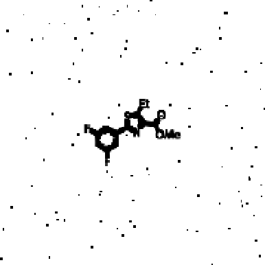 CCc1sc(-c2cc(F)cc(F)c2)nc1C(=O)OC